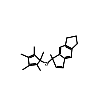 CC1=C(C)[C](C)([Zr][C]2(C)C=Cc3cc4c(cc32)CCC4)C(C)=C1C